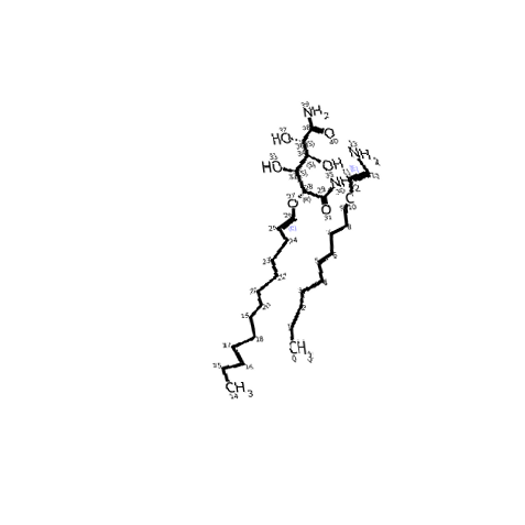 CCCCCCCCCCC/C=C/N.CCCCCCCCCCC/C=C/O[C@@H](C(N)=O)[C@@H](O)[C@H](O)[C@H](O)C(N)=O